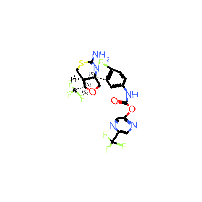 NC1=N[C@@]2(c3cc(NC(=O)Oc4cnc(C(F)(F)F)cn4)ccc3F)CO[C@H](C(F)(F)F)[C@H]2CS1